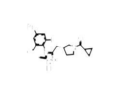 O=C(C1CC1)N1CC[C@@H](Cc2n[nH]c(=O)n2-c2c(F)cc(Br)cc2Cl)C1